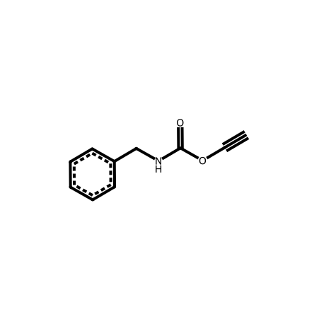 C#COC(=O)NCc1ccccc1